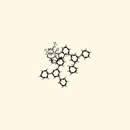 CCC1=Cc2c(-c3cc(-c4ccccc4)cc(-c4ccccc4)c3)cccc2[CH]1[Zr]([Cl])([Cl])([CH]1C(CC)=Cc2c(-c3cc(-c4ccccc4)cc(-c4ccccc4)c3)cccc21)[SiH](C)C